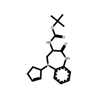 CC(C)(C)OC(=O)NC1CN(C2C=CCC2)c2ccccc2NC1=O